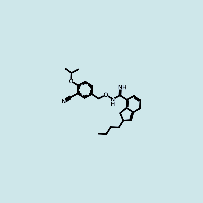 CCCCC1[C]=C2CC=CC(C(=N)NOCc3ccc(OC(C)C)c(C#N)c3)=C2C1